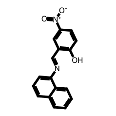 O=[N+]([O-])c1ccc(O)c(/C=N/c2cccc3ccccc23)c1